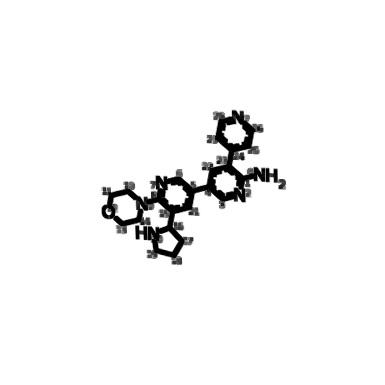 Nc1ncc(-c2cnc(N3CCOCC3)c(C3CCCN3)c2)cc1-c1ccncc1